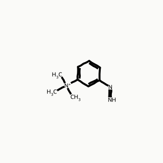 C[N+](C)(C)c1cccc(N=N)c1